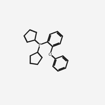 c1ccc(Oc2ccccc2P(C2CCCC2)C2CCCC2)cc1